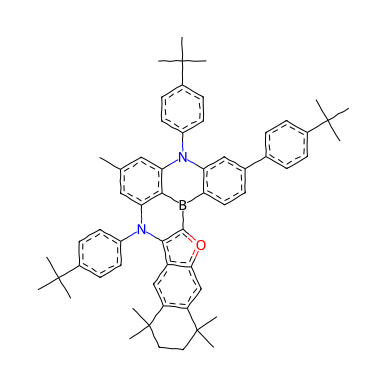 Cc1cc2c3c(c1)N(c1ccc(C(C)(C)C)cc1)c1c(oc4cc5c(cc14)C(C)(C)CCC5(C)C)B3c1ccc(-c3ccc(C(C)(C)C)cc3)cc1N2c1ccc(C(C)(C)C)cc1